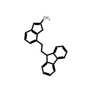 CC1=Cc2cccc(CCC3c4ccccc4-c4ccccc43)c2C1